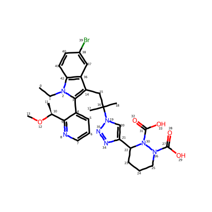 CCn1c(-c2cccnc2[C@H](C)OC)c(CC(C)(C)n2cc(C3CCCN(C(=O)O)N3C(=O)O)nn2)c2cc(Br)ccc21